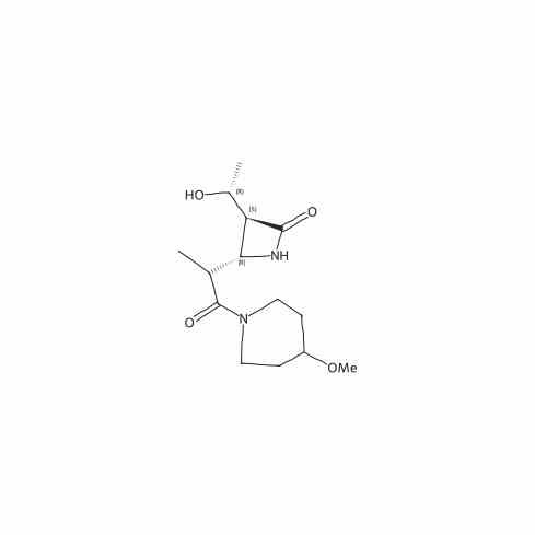 COC1CCN(C(=O)C(C)[C@H]2NC(=O)[C@@H]2[C@@H](C)O)CC1